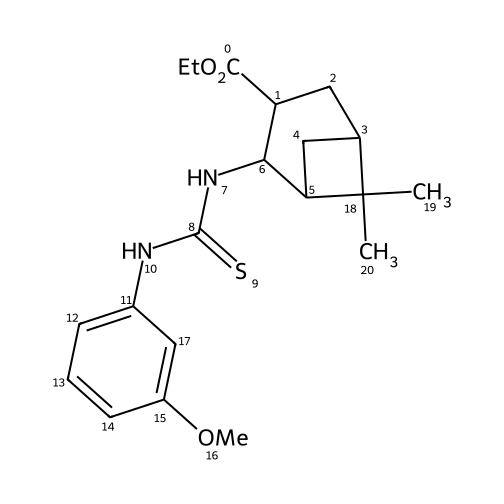 CCOC(=O)C1CC2CC(C1NC(=S)Nc1cccc(OC)c1)C2(C)C